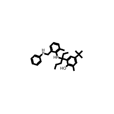 CCCC(CC)(Pc1c(C)cccc1CPc1ccccc1)c1cc(C(C)(C)C)cc(C)c1O